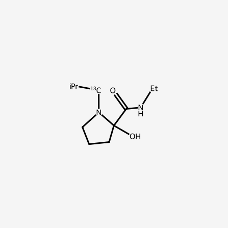 CC(C)[13CH2]N1CCCC1(O)C(=O)N[13CH2][13CH3]